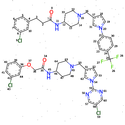 O=C(CCc1cccc(Cl)c1)NC1CCN(Cc2ccn(-c3ccc(C(F)(F)F)cc3)c2)CC1.O=C(COc1cccc(Cl)c1)NC1CCN(Cc2ccn(-c3ncc(Cl)cn3)c2)CC1